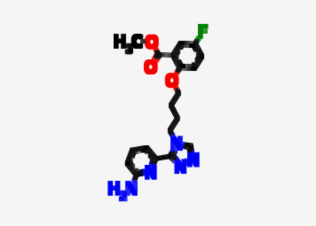 COC(=O)c1cc(F)ccc1OCCCCn1cnnc1-c1cccc(N)n1